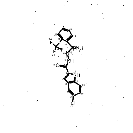 N=C(NNC(=O)c1cc2cc(Cl)ccc2[nH]1)c1ccccc1C(F)(F)F